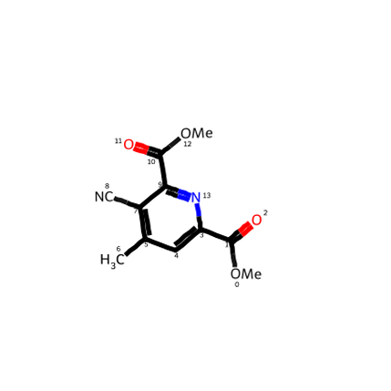 COC(=O)c1cc(C)c(C#N)c(C(=O)OC)n1